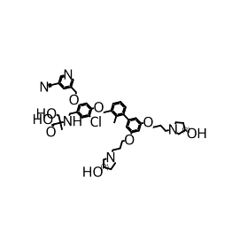 Cc1c(COc2cc(OCc3cncc(C#N)c3)c(CNC(C)(CO)C(=O)O)cc2Cl)cccc1-c1cc(OCCCN2CC[C@@H](O)C2)cc(OCCCN2CC[C@@H](O)C2)c1